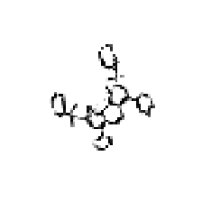 CC(C)(c1ccccc1)c1cc(-c2ccccc2)c2ccc3c(-c4ccccc4)cc(C(C)(C)c4ccccc4)nc3c2n1